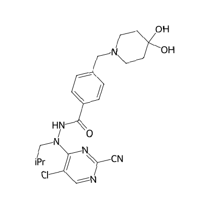 CC(C)CN(NC(=O)c1ccc(CN2CCC(O)(O)CC2)cc1)c1nc(C#N)ncc1Cl